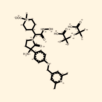 Cc1cc(COc2ccc(C3(N)CCN(C(C(=O)NO)C4CC[N+](C)(C(=O)[O-])CC4)C3=O)cc2)cc(C)n1.O=C(O)C(F)(F)F.O=C(O)C(F)(F)F